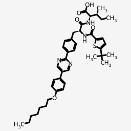 CCCCCCCOc1ccc(-c2cnc(-c3ccc(C[C@H](NC(=O)c4ccc(C(C)(C)C)s4)C(=O)N[C@@H](C(=O)O)[C@@H](C)CC)cc3)nc2)cc1